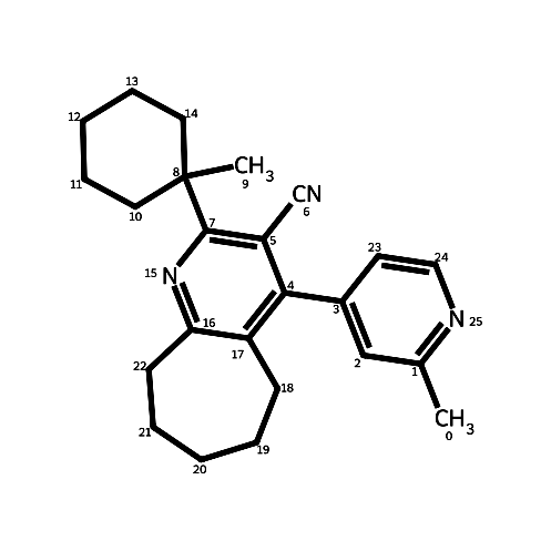 Cc1cc(-c2c(C#N)c(C3(C)CCCCC3)nc3c2CCCCC3)ccn1